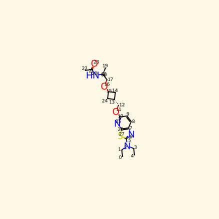 CCN(CC)c1nc2ccc(OC[C@H]3C[C@H](OC[C@H](C)NC(C)=O)C3)nc2s1